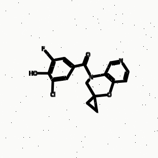 O=C(c1cc(F)c(O)c(Cl)c1)N1CC2(CC2)Oc2ccncc21